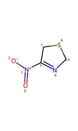 O=[N+]([O-])C1=N[C]SC1